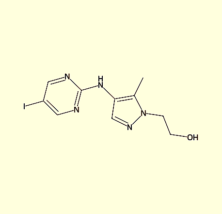 Cc1c(Nc2ncc(I)cn2)cnn1CCO